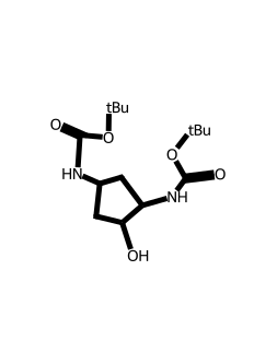 CC(C)(C)OC(=O)NC1CC(O)C(NC(=O)OC(C)(C)C)C1